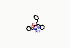 N=C1N[C@](CCC2CCCCC2)(CC2CCCCC2)C(=O)N1CC1(O)CCCCC1